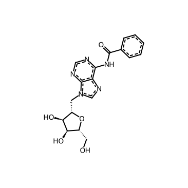 O=C(Nc1ncnc2c1ncn2C[C@@H]1O[C@H](CO)[C@@H](O)[C@H]1O)c1ccccc1